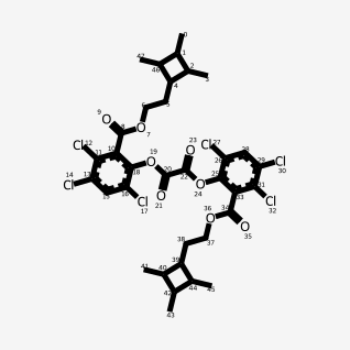 CC1C(C)C(CCOC(=O)c2c(Cl)c(Cl)cc(Cl)c2OC(=O)C(=O)Oc2c(Cl)cc(Cl)c(Cl)c2C(=O)OCCC2C(C)C(C)C2C)C1C